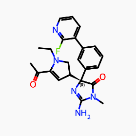 CCN1CC([C@]2(c3cccc(-c4cccnc4F)c3)N=C(N)N(C)C2=O)C=C1C(C)=O